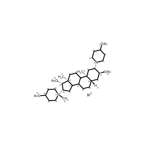 CC(=O)OC1CCN([C@H]2C[C@]3(C)C4CC[C@@]5(C)C(C[C@H]([N+]6(C)CCC(OC(C)=O)CC6)[C@@H]5OC(C)=O)C4CC[C@H]3C[C@@H]2OC(C)=O)CC1.[Br-]